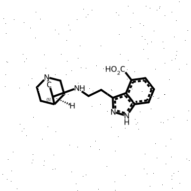 O=C(O)c1cccc2[nH]nc(CCN[C@@H]3CN4CCC3CC4)c12